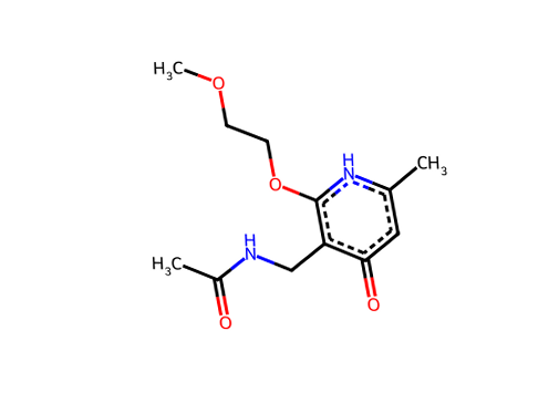 COCCOc1[nH]c(C)cc(=O)c1CNC(C)=O